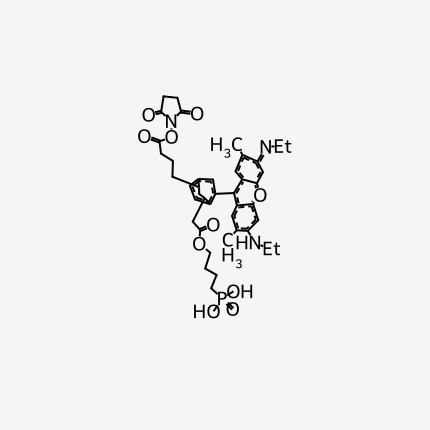 CC/N=c1\cc2oc3cc(NCC)c(C)cc3c(-c3cc4ccc3C(CC(=O)OCCCCP(=O)(O)O)CC4CCCC(=O)ON3C(=O)CCC3=O)c-2cc1C